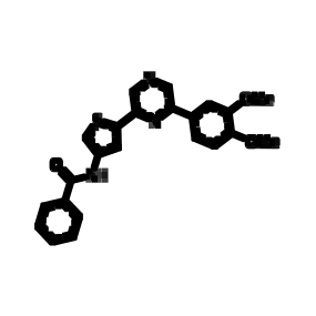 COc1ccc(-c2cncc(-c3cc(NC(=O)c4ccccc4)cs3)n2)cc1OC